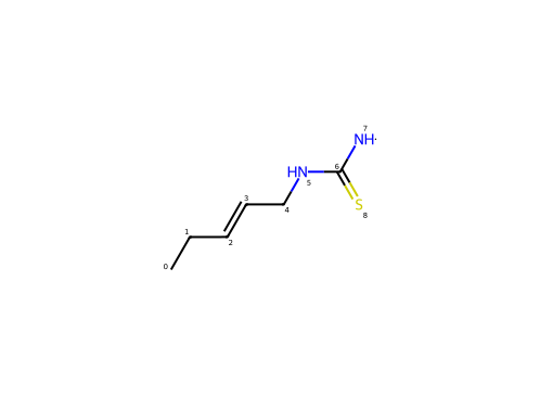 CCC=CCNC([NH])=S